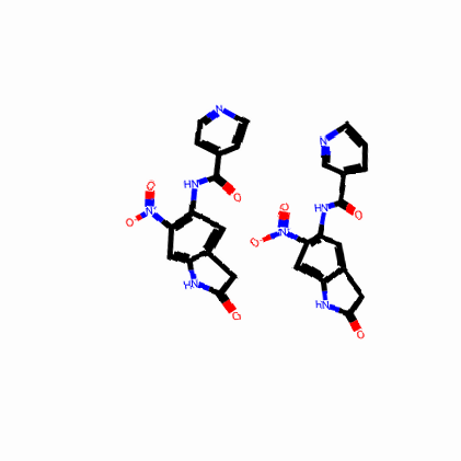 O=C1Cc2cc(NC(=O)c3cccnc3)c([N+](=O)[O-])cc2N1.O=C1Cc2cc(NC(=O)c3ccncc3)c([N+](=O)[O-])cc2N1